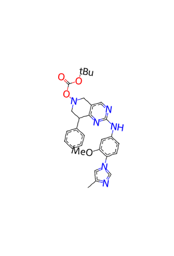 COc1cc(Nc2ncc3c(n2)C(c2ccccc2)CN(OC(=O)OC(C)(C)C)C3)ccc1-n1cnc(C)c1